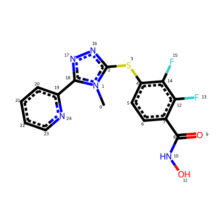 Cn1c(Sc2ccc(C(=O)NO)c(F)c2F)nnc1-c1ccccn1